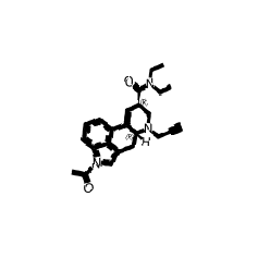 C#CCN1C[C@H](C(=O)N(CC)CC)C=C2c3cccc4c3c(cn4C(C)=O)C[C@H]21